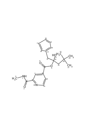 CNC(=O)c1cc(C(=O)OC(O)(Cc2ccccc2)CC(C)(C)C)ccn1